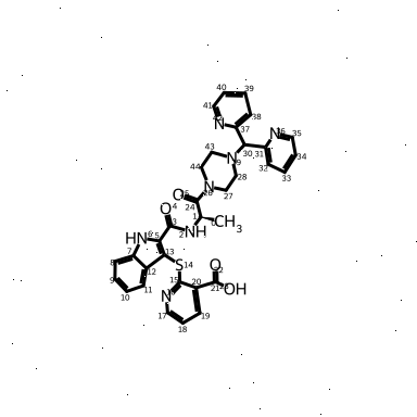 C[C@@H](NC(=O)c1[nH]c2ccccc2c1Sc1ncccc1C(=O)O)C(=O)N1CCN(C(c2ccccn2)c2ccccn2)CC1